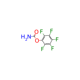 NC(=O)Oc1c(F)c(F)c(F)c(F)c1F